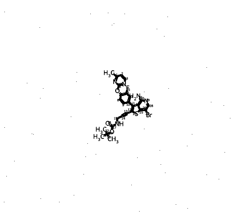 Cc1ccnc(Oc2ccc(-c3c(C#CCNC(=O)OC(C)(C)C)sc4c(Br)cnc(N)c34)cc2F)n1